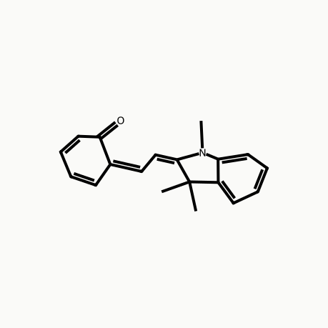 CN1/C(=C/C=C2/C=CC=CC2=O)C(C)(C)c2ccccc21